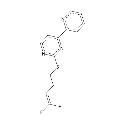 FC(F)=CCCSc1nccc(-c2ccccn2)n1